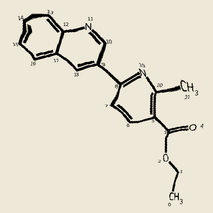 CCOC(=O)c1ccc(-c2cnc3ccccc3c2)nc1C